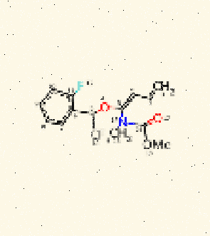 C=C/C=C(/OC(c1ccccc1F)C(F)(F)F)N(C)C(=O)OC